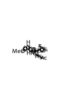 COc1ccc2[nH]c(C)c(CC(=O)N[C@@H](CCCCCC(C)=O)C(=O)NCc3ccc(F)cc3F)c2c1